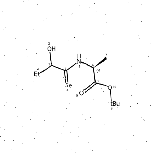 CCC(O)C(=[Se])N[C@@H](C)C(=O)OC(C)(C)C